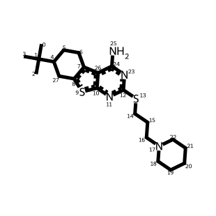 CC(C)(C)C1CCc2c(sc3nc(SCCCN4CCCCC4)nc(N)c23)C1